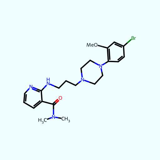 COc1cc(Br)ccc1N1CCN(CCCNc2ncccc2C(=O)N(C)C)CC1